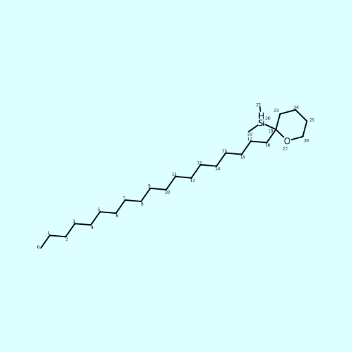 CCCCCCCCCCCCCCCCCCCC1([SiH](C)C)CCCCO1